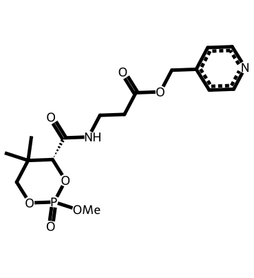 [CH2]OP1(=O)OCC(C)(C)[C@H](C(=O)NCCC(=O)OCc2ccncc2)O1